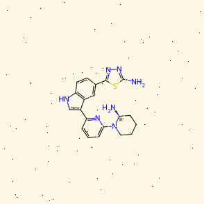 Nc1nnc(-c2ccc3[nH]cc(-c4cccc(N5CCCC[C@@H]5N)n4)c3c2)s1